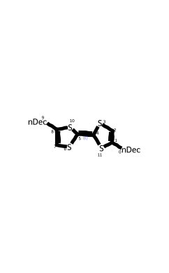 CCCCCCCCCCC1=CS/C(=C2/SC=C(CCCCCCCCCC)S2)S1